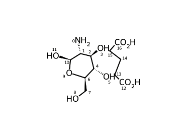 N[C@@H]1[C@@H](O)[C@H](O)[C@@H](CO)O[C@H]1O.O=C(O)CCCC(=O)O